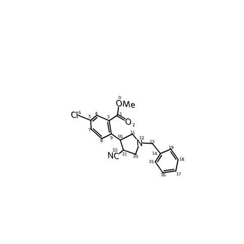 COC(=O)c1cc(Cl)ccc1C1CN(Cc2ccccc2)CC1C#N